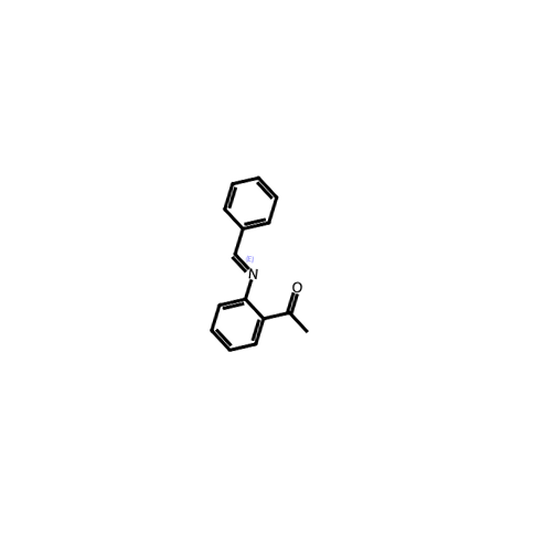 CC(=O)c1ccccc1/N=C/c1ccccc1